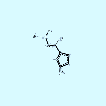 Cc1ccc([C@H](N[S@@+]([O-])C(C)(C)C)C(C)C)o1